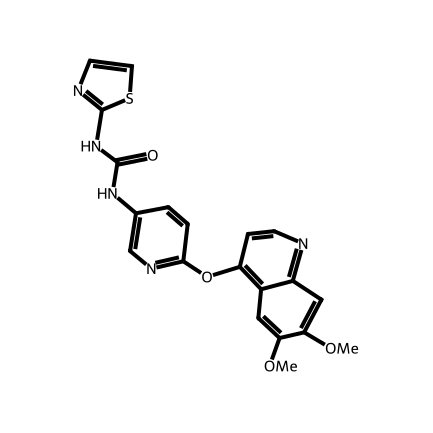 COc1cc2nccc(Oc3ccc(NC(=O)Nc4nccs4)cn3)c2cc1OC